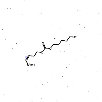 CCCCC/C=C\CCOC(=O)OCCCCCBr